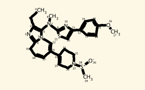 CCc1nc2n(c1N(C)c1nc(-c3ccc(OC)cc3)cs1)C=C(C1=CCN([S+](C)[O-])CC1)C=CC2